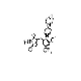 O=C1NC(=O)C(=Cc2cc(C(F)(F)F)cc(Cl)c2N2CCC(N3CCOCC3)CC2)S1